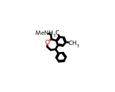 CNCC1OCCC(c2ccccc2)c2cc(C)cc(C)c21